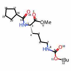 COC(=O)[C@H](CCCCNC(=O)OC(C)(C)C)NC(=O)C1CCCC1